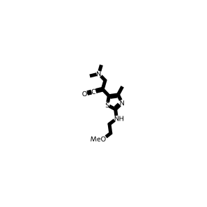 COCCNc1nc(C)c(C(=C=O)CN(C)C)s1